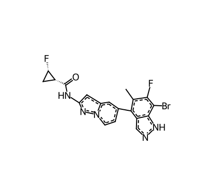 Cc1c(F)c(Br)c2[nH]ncc2c1-c1ccn2nc(NC(=O)[C@@H]3C[C@@H]3F)cc2c1